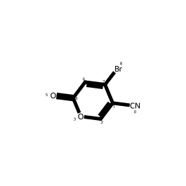 N#Cc1coc(=O)cc1Br